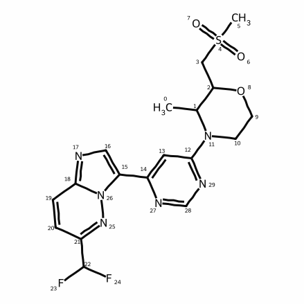 CC1C(CS(C)(=O)=O)OCCN1c1cc(-c2cnc3ccc(C(F)F)nn23)ncn1